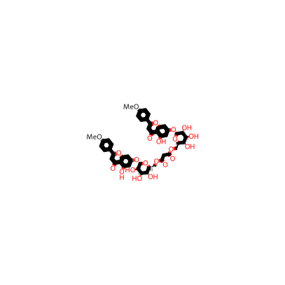 COc1ccc(-c2cc(=O)c3c(O)cc(O[C@@H]4O[C@H](COC(=O)CC(=O)OC[C@H]5O[C@@H](Oc6cc(O)c7c(=O)cc(-c8ccc(OC)cc8)oc7c6)[C@H](O)[C@@H](O)[C@@H]5O)[C@@H](O)[C@H](O)[C@H]4O)cc3o2)cc1